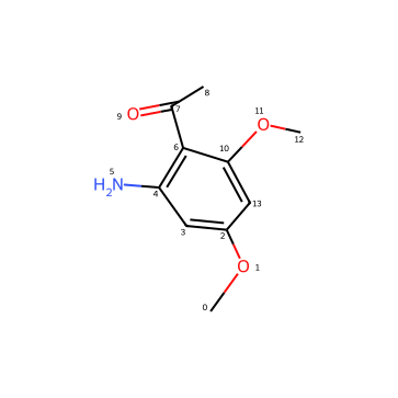 COc1cc(N)c(C(C)=O)c(OC)c1